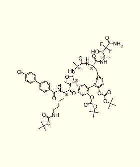 C[C@@H]1NC(=O)[C@@H](N(C)C(=O)[C@H](CCCCNC(=O)OC(C)(C)C)NC(=O)c2ccc(-c3ccc(Cl)cc3)cc2)c2ccc(OC(=O)OC(C)(C)C)c(c2)-c2cc(ccc2OC(=O)OC(C)(C)C)C[C@@H](C(=O)N[C@@H](C)C(O)C(F)(F)C(N)=O)NC1=O